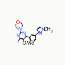 COc1c(I)nc(N2CCOCC2)nc1-c1cccc(-c2ccn(C)n2)c1